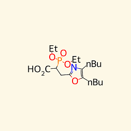 CCCCc1nc(CC(C(=O)O)P(=O)(OCC)OCC)oc1CCCC